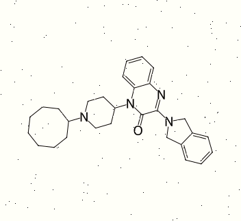 O=c1c(N2Cc3ccccc3C2)nc2ccccc2n1C1CCN(C2CCCCCCC2)CC1